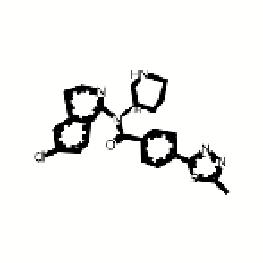 Cc1nnc(-c2ccc(C(=O)N(c3nccc4cc(Cl)ccc34)[C@@H]3CCCNC3)cc2)s1